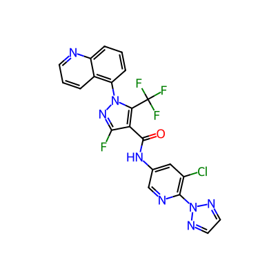 O=C(Nc1cnc(-n2nccn2)c(Cl)c1)c1c(F)nn(-c2cccc3ncccc23)c1C(F)(F)F